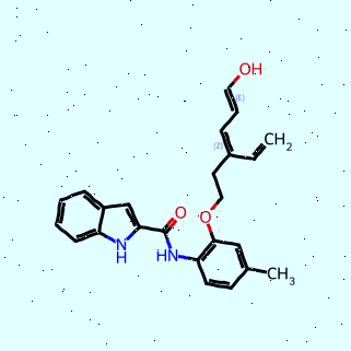 C=C/C(=C\C=C\O)CCOc1cc(C)ccc1NC(=O)c1cc2ccccc2[nH]1